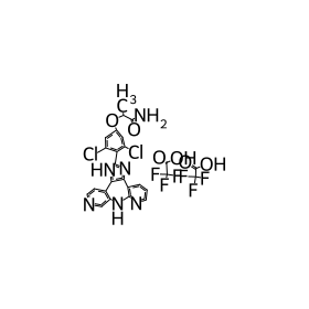 CC(Oc1cc(Cl)c(-c2nc3c([nH]2)-c2ccncc2Nc2ncccc2-3)c(Cl)c1)C(N)=O.O=C(O)C(F)(F)F.O=C(O)C(F)(F)F